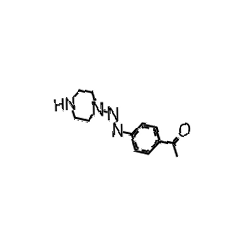 CC(=O)c1ccc(/N=N/N2CCNCC2)cc1